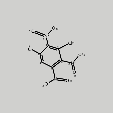 O=[N+]([O-])c1cc(Cl)c([N+](=O)[O-])c(Cl)c1[N+](=O)[O-]